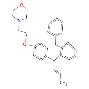 CC=CC(c1ccc(OCCN2CCOCC2)cc1)c1ccccc1Cc1ccccc1